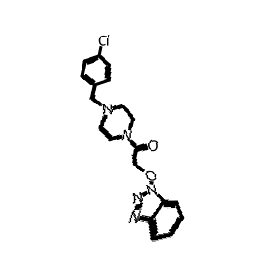 O=C(COn1nnc2ccccc21)N1CCN(Cc2ccc(Cl)cc2)CC1